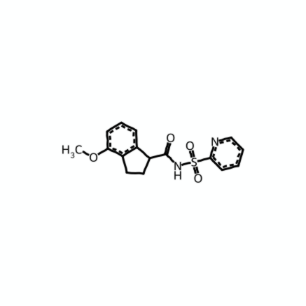 COc1cccc2c1CCC2C(=O)NS(=O)(=O)c1ccccn1